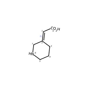 O=C(O)/C=C1\CCCNC1